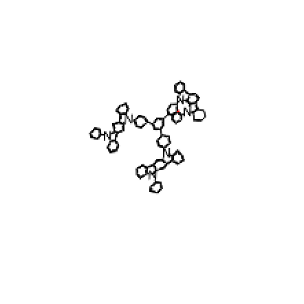 C1=Cc2c(c3ccc4c5ccccc5n(-c5ccc(-c6cc(-c7ccc(-n8c9ccccc9c9cc%10c(cc98)c8ccccc8n%10-c8ccccc8)cc7)cc(-c7ccc(-n8c9ccccc9c9cc%10c(cc98)c8ccccc8n%10-c8ccccc8)cc7)c6)cc5)c4c3n2-c2ccccc2)CC1